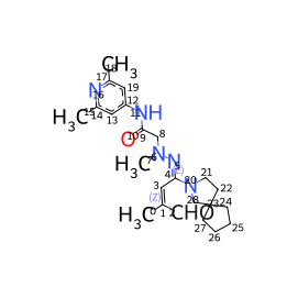 C/C(C=O)=C/C(=N\N(C)CC(=O)Nc1cc(C)nc(C)c1)N1CCC2(CCCC2)C1